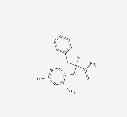 Cc1cc(Cl)ccc1OC(Br)(Cc1ccccc1)C(N)=O